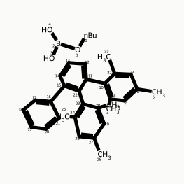 CCCCOB(O)O.Cc1cc(C)c(-c2cccc(-c3ccccc3)c2-c2c(C)cc(C)cc2C)c(C)c1